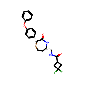 O=C(NC[C@@H]1CCS[C@H](c2ccc(Oc3ccccc3)cc2)C(=O)N1)C1CC(F)(F)C1